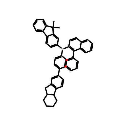 CC1(C)c2ccccc2-c2ccc(N(c3ccc(-c4ccc5c(c4)CC4CCCCC54)cc3)c3ccc4ccccc4c3-c3ccccc3)cc21